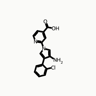 Nc1cn(-c2cc(C(=O)O)ccn2)cc1-c1ccccc1Cl